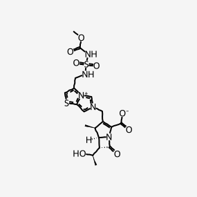 COC(=O)NS(=O)(=O)NCc1csc2cn(CC3=C(C(=O)[O-])N4C(=O)[C@H]([C@@H](C)O)[C@H]4[C@H]3C)c[n+]12